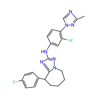 Cc1ncn(-c2ccc(Nc3nc4n(n3)CCCCC4c3ccc(F)cc3)cc2F)n1